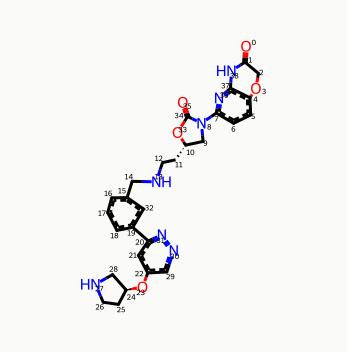 O=C1COc2ccc(N3C[C@H](CCNCc4cccc(-c5cc(O[C@H]6CCNC6)cnn5)c4)OC3=O)nc2N1